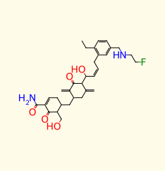 C=C1C(=O)C(C(O)/C=C\Cc2cc(CNCCF)ccc2CC)C(=C)CC1CC1CC=C(C(N)=O)C(=O)C1CO